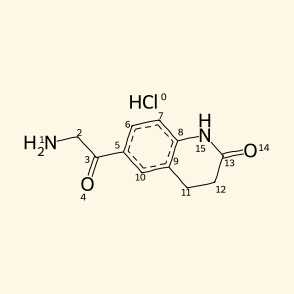 Cl.NCC(=O)c1ccc2c(c1)CCC(=O)N2